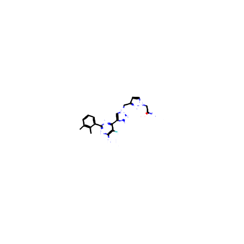 Cc1cccc(-c2nc(N)c(F)c(-c3cn(Cc4ccn(CC(N)=O)n4)nn3)n2)c1C